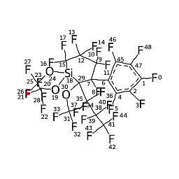 Fc1c(F)c(F)c(C2(F)C(F)(F)C(F)(F)C(F)(F)[Si](OC(F)(F)F)(OC(F)(F)F)C2(OC(F)(F)F)C(F)(F)C(F)(F)C(F)(F)F)c(F)c1F